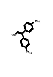 CCCCC=C(c1ccc(OC)cc1)c1ccc(OC)cc1